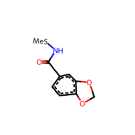 CSNC(=O)c1ccc2c(c1)OCO2